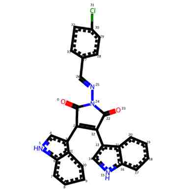 O=C1C(c2c[nH]c3ccccc23)=C(c2c[nH]c3ccccc23)C(=O)N1/N=C/c1ccc(Cl)cc1